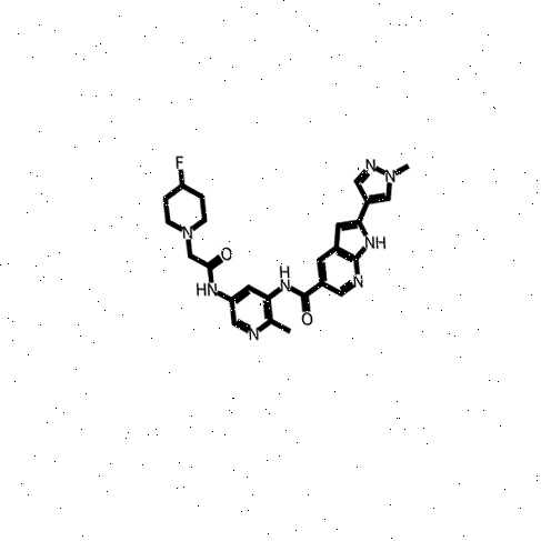 Cc1ncc(NC(=O)CN2CCC(F)CC2)cc1NC(=O)c1cnc2[nH]c(-c3cnn(C)c3)cc2c1